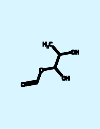 CC(O)C(O)OC=O